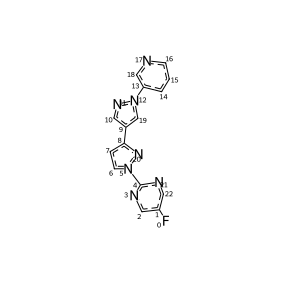 Fc1cnc(-n2ccc(-c3cnn(-c4cccnc4)c3)n2)nc1